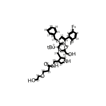 CC(C)(C)[C@H](c1nc(-c2cc(F)ccc2F)cn1Cc1ccccc1)N(CC1CNCC1CNC(=O)CCOCCO)C(=O)CO